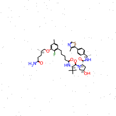 Cc1cc(CCCCC(=O)N[C@H](C(=O)N2C[C@H](O)C[C@H]2C(=O)N[C@@H](C)c2ccc(-c3scnc3C)cc2)C(C)(C)C)c(F)c(OC[C@@H](C)CCC(N)=O)c1